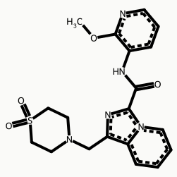 COc1ncccc1NC(=O)c1nc(CN2CCS(=O)(=O)CC2)c2ccccn12